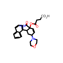 NC(=O)C1(OC(=O)CCC(=O)O)C=CC(N2CCOCC2)CC1c1cccc2ccccc12